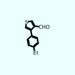 CCc1ccc(-c2cscc2C=O)cc1